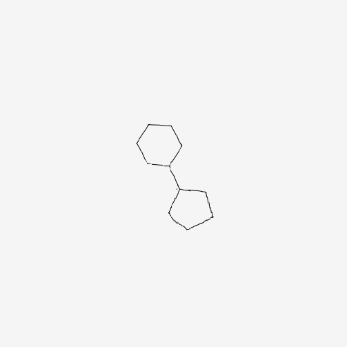 C1CCC([C]2CCCC2)CC1